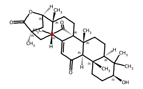 COC(=O)[C@@]12CC[C@@]3(C)[C@H]4C[C@@](C)(C[C@H]3C1=CC(=O)[C@@H]1[C@@]3(C)CC[C@H](O)C(C)(C)[C@@H]3CC[C@]12C)C(=O)O4